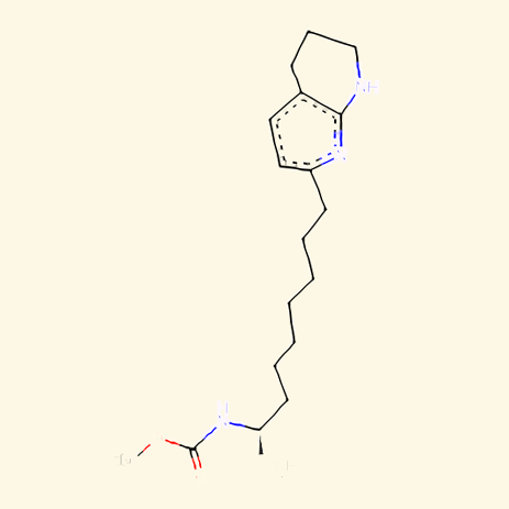 CC(C)(C)OC(=O)N[C@@H](CCCCCCCc1ccc2c(n1)NCCC2)C(=O)O